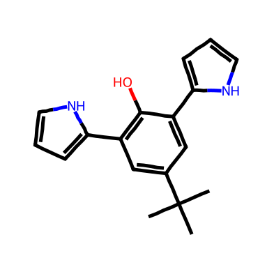 CC(C)(C)c1cc(-c2ccc[nH]2)c(O)c(-c2ccc[nH]2)c1